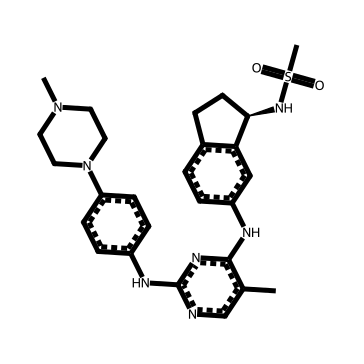 Cc1cnc(Nc2ccc(N3CCN(C)CC3)cc2)nc1Nc1ccc2c(c1)[C@H](NS(C)(=O)=O)CC2